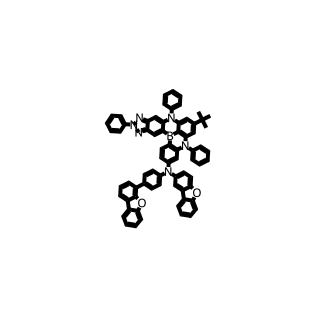 CC(C)(C)c1cc2c3c(c1)N(c1ccccc1)c1cc4nn(-c5ccccc5)nc4cc1B3c1ccc(N(c3ccc(-c4cccc5c4oc4ccccc45)cc3)c3ccc4oc5ccccc5c4c3)cc1N2c1ccccc1